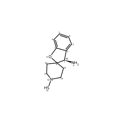 N[C@@H]1c2ccccc2OC12CCN(S)CC2